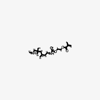 C=C(C)C(=O)OCCOC(=O)NCCC(C)CC(C)(C)CNC